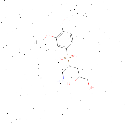 COc1ccc(S(=O)(=O)C(CN)CC(O)CO)cc1OC